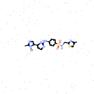 CCn1c(-c2ccnc(Nc3ccc(S(=O)(=O)NCc4nc(C)cs4)cc3)n2)cnc1C